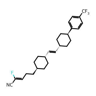 N#CC(F)=CCC[C@H]1CC[C@H](/C=C/[C@H]2CC[C@H](c3ccc(C(F)(F)F)cc3)CC2)CC1